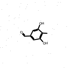 Cc1c(O)cc(C=O)cc1O